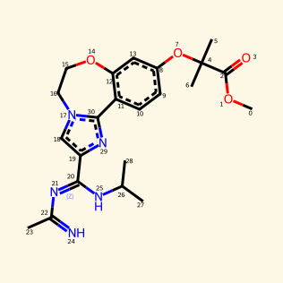 COC(=O)C(C)(C)Oc1ccc2c(c1)OCCn1cc(/C(=N/C(C)=N)NC(C)C)nc1-2